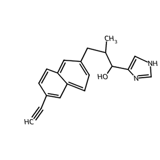 C#Cc1ccc2cc(CC(C)C(O)c3c[nH]cn3)ccc2c1